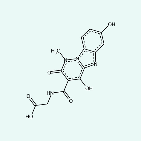 Cn1c(=O)c(C(=O)NCC(=O)O)c(O)c2nc3cc(O)ccc3n21